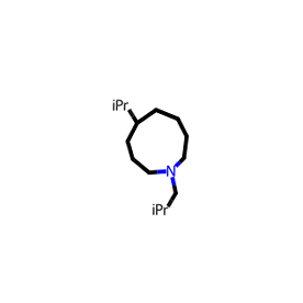 CC(C)CN1CCCCC(C(C)C)CCC1